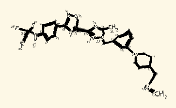 C=NCC1CCN(c2cccc(Cn3nc(-c4nc(-c5ccc(OC(F)(F)F)cc5)no4)nc3C)c2)CC1